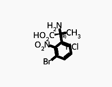 C[C@](N)(C(=O)O)c1cccc(Br)c1[N+](=O)[O-].Cl